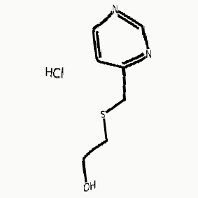 Cl.OCCSCc1ccncn1